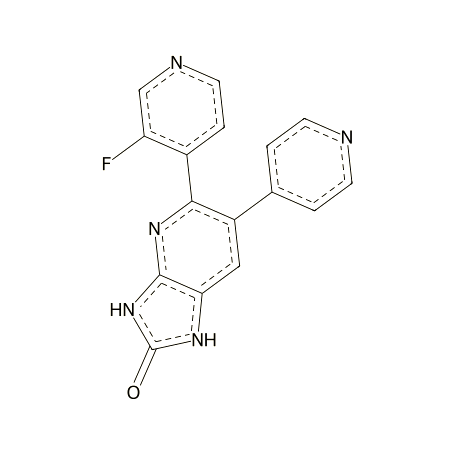 O=c1[nH]c2cc(-c3ccncc3)c(-c3ccncc3F)nc2[nH]1